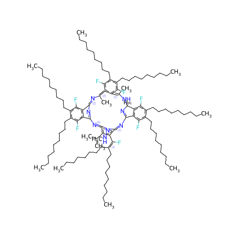 CCCCCCCCC/C(CCCCCCCC)=C(\F)c1c(C(C)C)/c2n(NC)/c1=N\C1=N[C@@H](N\C(C)=c3/c(F)c(CCCCCCCCC)c(CCCCCCCCC)c(F)/c3=C(C)\N=C3N=C(/N=2)c2c(F)c(CCCCCCCCC)c(CCCCCCCCC)c(F)c2/3)c2c(F)c(CCCCCCCCC)c(CCCCCCCCC)c(F)c21